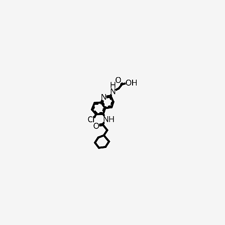 O=C(O)CNc1ccc2c(NC(=O)CC3CCCCC3)c(Cl)ccc2n1